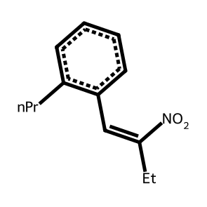 CCCc1ccccc1C=C(CC)[N+](=O)[O-]